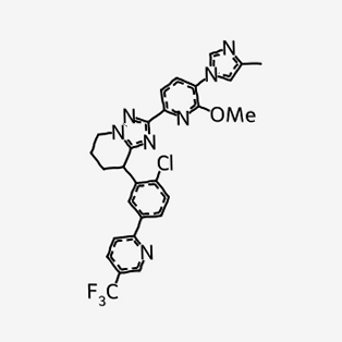 COc1nc(-c2nc3n(n2)CCCC3c2cc(-c3ccc(C(F)(F)F)cn3)ccc2Cl)ccc1-n1cnc(C)c1